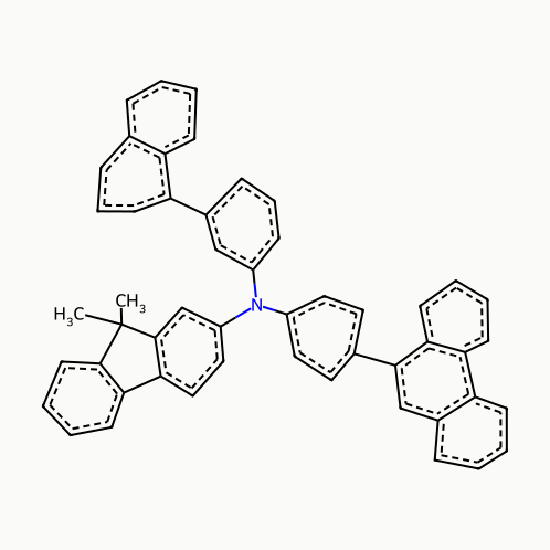 CC1(C)c2ccccc2-c2ccc(N(c3ccc(-c4cc5ccccc5c5ccccc45)cc3)c3cccc(-c4cccc5ccccc45)c3)cc21